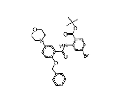 CC(C)(C)OC(=O)c1ccc(Br)cc1NC(=O)c1cc(N2CCOCC2)ccc1OCc1ccccc1